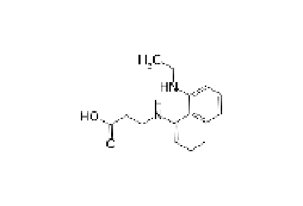 CCNc1cccc2c1C(NCCC(=O)O)=CCC2